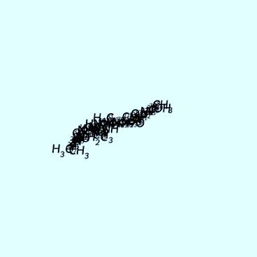 C=CC(=O)Nc1cc(Nc2nc(-c3ccnc(N4CCn5c(cc6c5CC(C)(C)C6)C4=O)c3CO)cn(C)c2=O)ccc1N1CCN(C2CCN(c3ccc4c(c3)C(=O)N(c3ccc(N5CCC(C)(O)CC5)nc3)C4=O)[C@H](C)C2)C[C@@H]1C